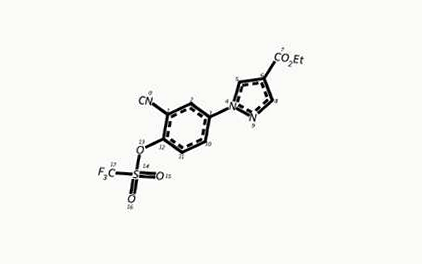 [C-]#[N+]c1cc(-n2cc(C(=O)OCC)cn2)ccc1OS(=O)(=O)C(F)(F)F